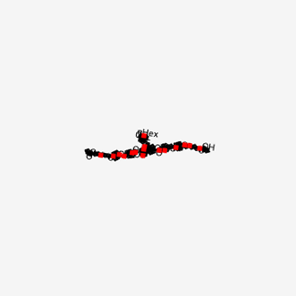 C=CC(=O)OCCCCCCOc1ccc(OCC2CCC(C(=O)Oc3ccc4c(c3)nc(Sc3ccc(OCCCCCC)cc3)c3cc(OC(=O)C5CCC(COc6ccc(OCCCCCCOC(O)C=C)cc6)CC5)ccc34)CC2)cc1